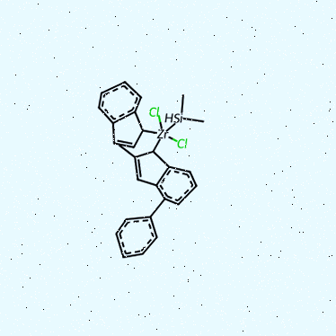 CC1=Cc2c(-c3ccccc3)cccc2[CH]1[Zr]([Cl])([Cl])([CH]1C=Cc2ccccc21)[SiH](C)C